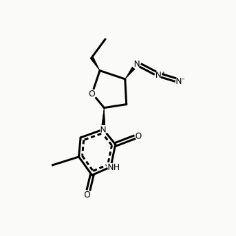 CC[C@@H]1O[C@H](n2cc(C)c(=O)[nH]c2=O)C[C@@H]1N=[N+]=[N-]